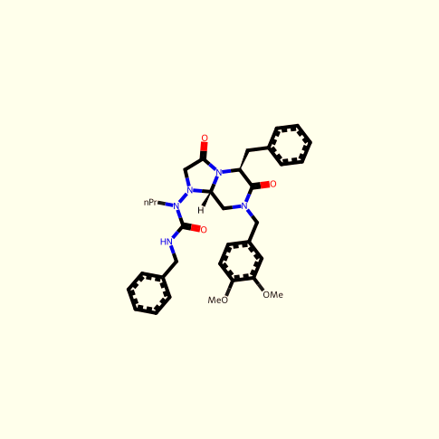 CCCN(C(=O)NCc1ccccc1)N1CC(=O)N2[C@@H](Cc3ccccc3)C(=O)N(Cc3ccc(OC)c(OC)c3)C[C@@H]21